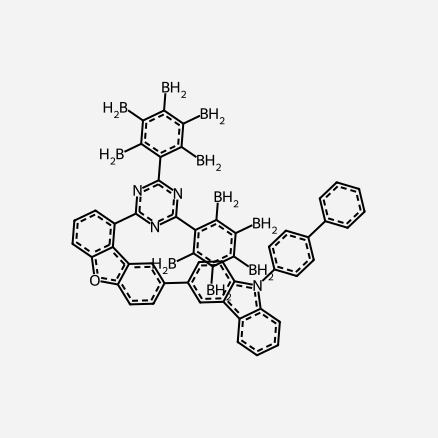 Bc1c(B)c(B)c(-c2nc(-c3c(B)c(B)c(B)c(B)c3B)nc(-c3cccc4oc5ccc(-c6ccc7c(c6)c6ccccc6n7-c6ccc(-c7ccccc7)cc6)cc5c34)n2)c(B)c1B